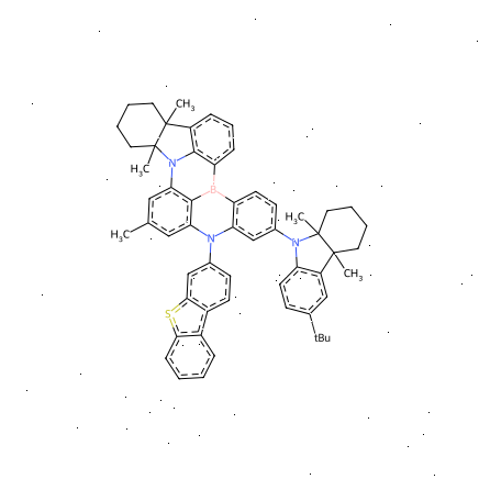 Cc1cc2c3c(c1)N1c4c(cccc4C4(C)CCCCC14C)B3c1ccc(N3c4ccc(C(C)(C)C)cc4C4(C)CCCCC34C)cc1N2c1ccc2c(c1)sc1ccccc12